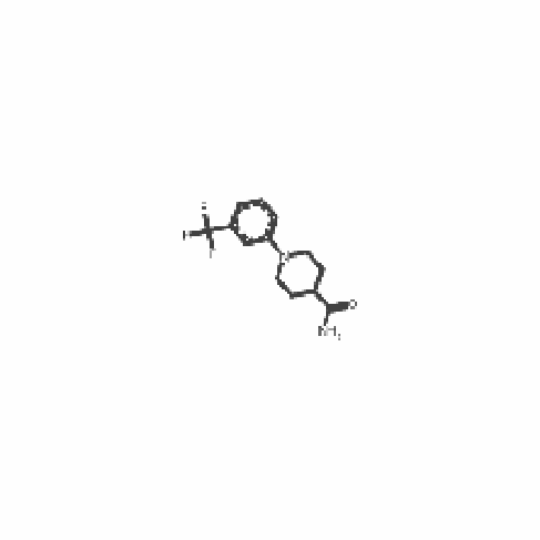 NC(=O)C1CCN(c2cccc(C(F)(F)F)c2)CC1